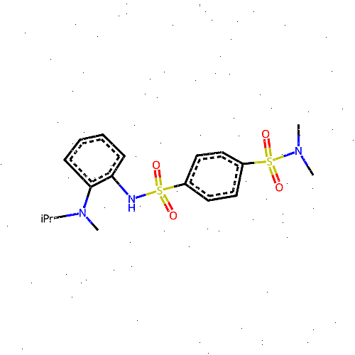 CC(C)N(C)c1ccccc1NS(=O)(=O)c1ccc(S(=O)(=O)N(C)C)cc1